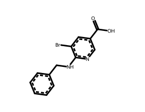 O=C(O)c1cnc(NCc2ccccc2)c(Br)c1